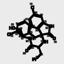 CC(C)C[C@H](NC1(Cc2cccc(Cl)c2)C(=O)Nc2cc(Cl)ccc21)C(=O)NCCO